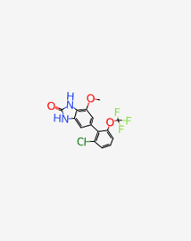 COc1cc(-c2c(Cl)cccc2OC(F)(F)F)cc2[nH]c(=O)[nH]c12